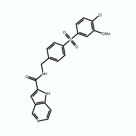 COc1cc(S(=O)(=O)c2ccc(CNC(=O)c3cc4cnccc4[nH]3)cc2)ccc1Cl